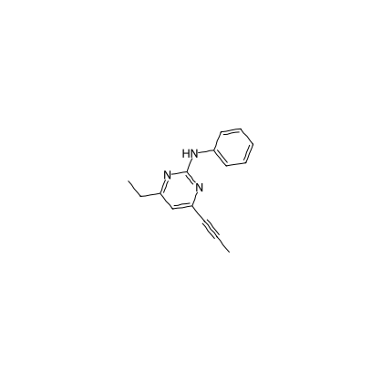 CC#Cc1cc(CC)nc(Nc2ccccc2)n1